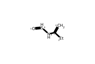 C=C(CC)N[SH]=O